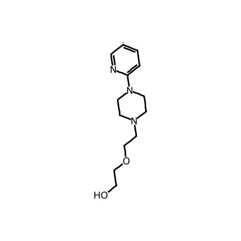 OCCOCCN1CCN(c2cc[c]cn2)CC1